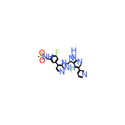 CS(=O)(=O)NCc1cc(F)cc(-c2ccnc3[nH]c(-c4n[nH]c5ncc(-c6cccnc6)c(F)c45)nc23)c1